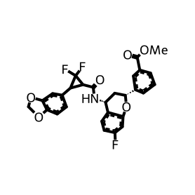 COC(=O)c1cccc([C@H]2C[C@@H](NC(=O)C3C(c4ccc5c(c4)OCO5)C3(F)F)c3ccc(F)cc3O2)c1